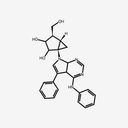 OC[C@@H]1C(O)C(O)[C@@]2(N3C=C(c4ccccc4)C4C(Nc5ccccc5)=NC=NC43)C[C@@H]12